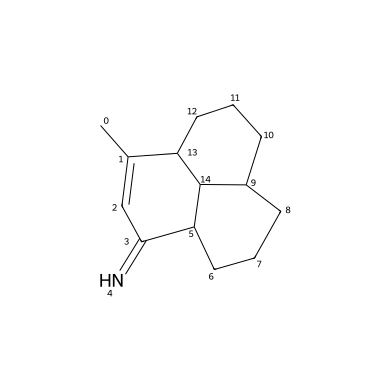 CC1=CC(=N)C2CCCC3CCCC1C32